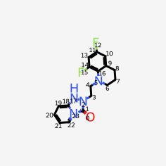 O=c1n(CCN2CCCc3cc(F)cc(F)c32)[nH]c2cccc[n+]12